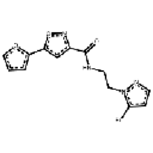 O=C(NCCn1nccc1Br)c1cc(-c2ccco2)on1